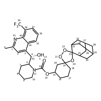 Cc1cc([C@H](O)C2CCCCN2C(=O)OC2CCCC3(C2)OOC2(O3)C3CC4CC(C3)CC2C4)c2cccc(C(F)(F)F)c2n1